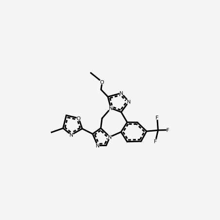 COCc1nnc2n1Cc1c(-c3nc(C)co3)ncn1-c1ccc(C(F)(F)F)cc1-2